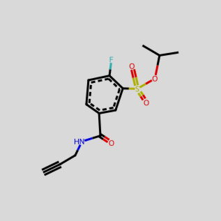 C#CCNC(=O)c1ccc(F)c(S(=O)(=O)OC(C)C)c1